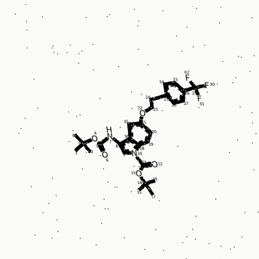 CC(C)(C)OC(=O)Nc1cn(C(=O)OC(C)(C)C)c2ccc(OCCc3ccc(C(F)(F)F)cc3)cc12